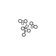 C1=C(c2cccc3c2oc2ccccc23)C(c2cccc3c2oc2ccccc23)=C[Si]12c1ccccc1B(c1ccccc1)c1ccccc12